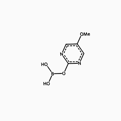 COc1cnc(OB(O)O)nc1